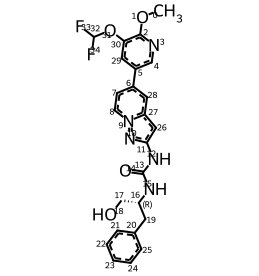 COc1ncc(-c2ccn3nc(NC(=O)N[C@@H](CO)Cc4ccccc4)cc3c2)cc1OC(F)F